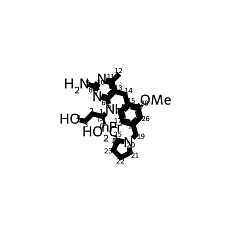 CCC[C@@H](CCO)Nc1nc(N)nc(C)c1Cc1ccc(CN2CCC[C@@H]2C(=O)O)cc1OC